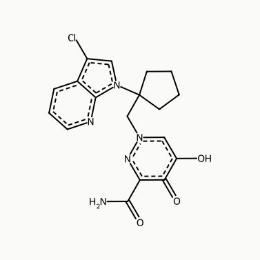 NC(=O)c1nn(CC2(n3cc(Cl)c4cccnc43)CCCC2)cc(O)c1=O